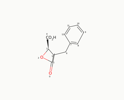 O=C1O[C@@H](C(=O)O)C1Cc1ccccc1